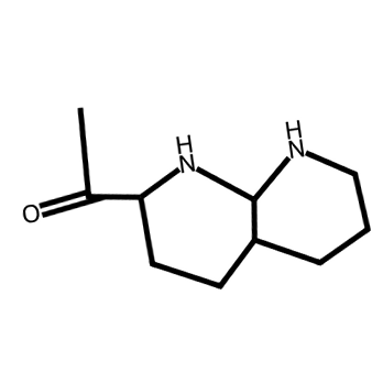 CC(=O)C1CCC2CCCNC2N1